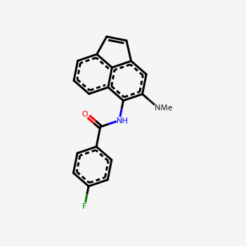 CNc1cc2c3c(cccc3c1NC(=O)c1ccc(F)cc1)C=C2